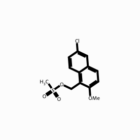 COc1ccc2cc(Cl)ccc2c1COS(C)(=O)=O